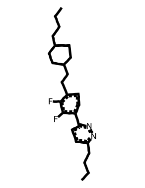 CCCCc1ccc(-c2ccc(CCC3CCC(CCCC)CC3)c(F)c2F)nn1